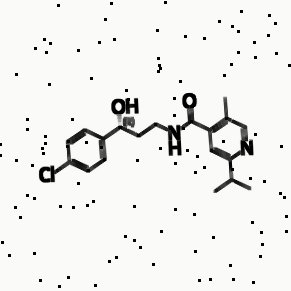 Cc1cnc(C(C)C)cc1C(=O)NCC[C@@H](O)c1ccc(Cl)cc1